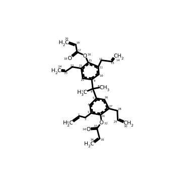 C=CCc1cc(C(C)(C)c2cc(CC=C)c(OC(=O)C=C)c(CC=C)c2)cc(CC=C)c1OC(=O)C=C